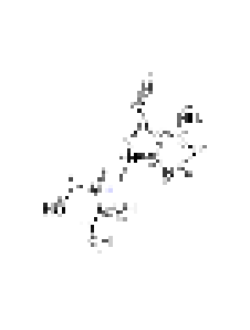 N#Cc1cn(C/C=C(/CO)C(O)CO)c2ncnc(N)c12